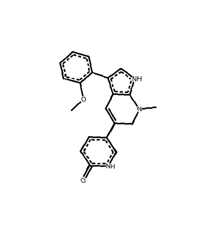 COc1ccccc1-c1c[nH]c2c1C=C(c1ccc(=O)[nH]c1)CN2C